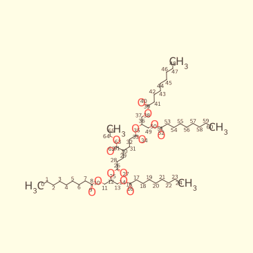 CCCCCCCCC(=O)OCC(COC(=O)CCCCCCCC)OC(=O)CCC(CCC(=O)OC(COC(=O)CCCCCCCC)COC(=O)CCCCCCCC)C(=O)OCC